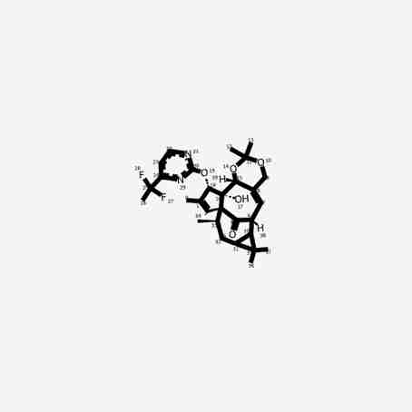 CC1=C[C@]23C(=O)[C@@H](C=C4COC(C)(C)O[C@H]4[C@]2(O)[C@H]1Oc1nccc(C(C)(F)F)n1)C1C(C[C@H]3C)C1(C)C